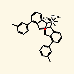 CCCCC[CH2][Hf]([CH3])([CH3])(=[SiH2])([CH2]CCCCC)([CH]1C=Cc2c(-c3cccc(C)c3)cccc21)[CH]1C=Cc2c(-c3cccc(C)c3)cccc21